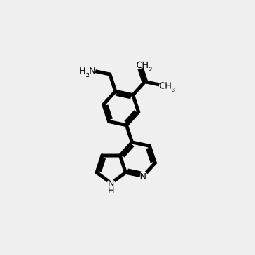 C=C(C)c1cc(-c2ccnc3[nH]ccc23)ccc1CN